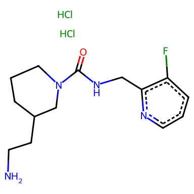 Cl.Cl.NCCC1CCCN(C(=O)NCc2ncccc2F)C1